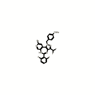 COc1ccc(Cn2nc(C(F)F)c3c2-c2cc(Br)ncc2NC(c2c(F)cccc2F)=N3)cc1